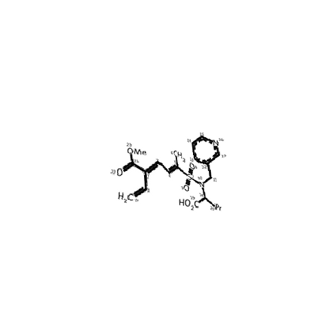 C=C/C(=C\C=C(/C)S(=O)(=O)N(Cc1cccnc1)C(C(=O)O)C(C)C)C(=O)OC